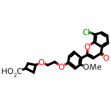 COc1cc(OCCOC2CC(C(=O)O)C2)ccc1-c1cc(=O)c2cccc(Cl)c2o1